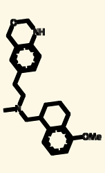 COc1cccc2c1CCCC2CN(C)CCc1ccc2c(c1)COCN2